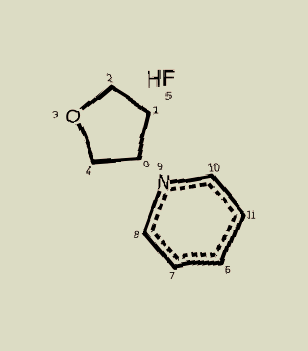 C1CCOC1.F.c1ccncc1